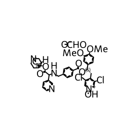 COc1ccc([C@H](Cc2c(Cl)c[n+](O)cc2Cl)OC(=O)c2ccc(CNC(C(=O)O[C@H]3CN4CCC3CC4)c3cccnc3)cc2)cc1OC.O=C[O-]